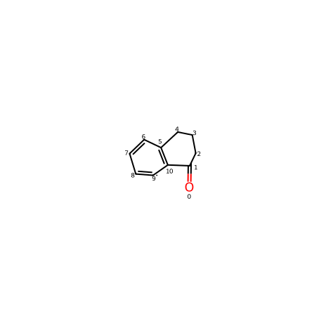 O=C1CCCc2ccc[c]c21